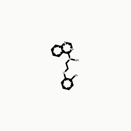 CCCN(CCOc1ccccc1C(C)C)c1ncnc2ccccc12